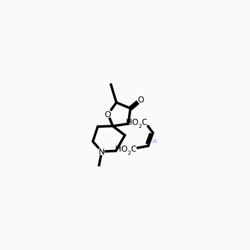 CC1OC2(CCN(C)CC2)CC1=O.O=C(O)/C=C\C(=O)O